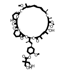 CO[C@H]1C[C@@H]2CC[C@@H](C)[C@@](O)(O2)C(=O)C(=O)N2CCCC[C@H]2C(=O)O[C@H]([C@H](C)C[C@@H]2CC[C@@H](OC(=O)C(C)(CO)CO)[C@H](OC)C2)CC(=O)C(C)/C=C(\C)[C@@H](O)[C@@H](OC)C(=O)[C@H](C)C[C@H](C)/C=C/C=C/C=C/1C